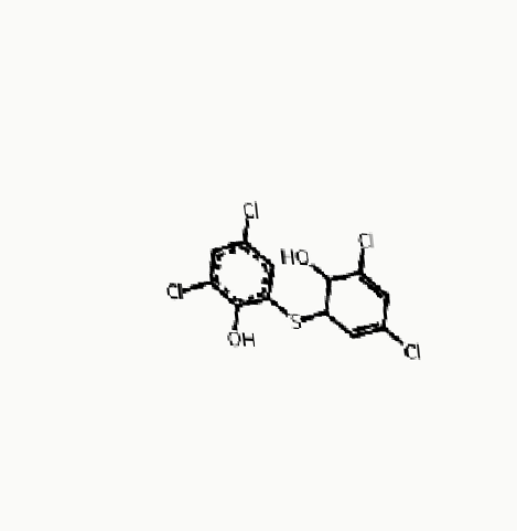 Oc1c(Cl)cc(Cl)cc1SC1C=C(Cl)C=C(Cl)C1O